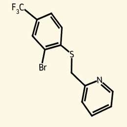 FC(F)(F)c1ccc(SCc2ccccn2)c(Br)c1